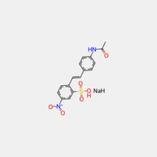 CC(=O)Nc1ccc(C=Cc2ccc([N+](=O)[O-])cc2S(=O)(=O)O)cc1.[NaH]